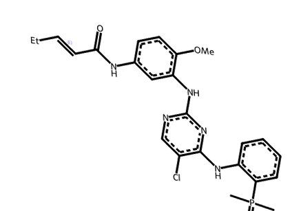 CC/C=C/C(=O)Nc1ccc(OC)c(Nc2ncc(Cl)c(Nc3ccccc3P(C)(C)=O)n2)c1